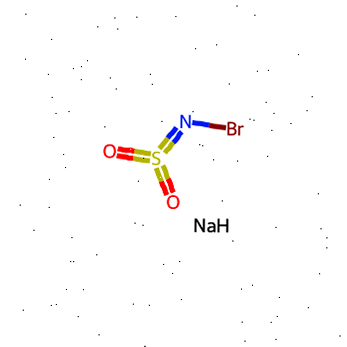 O=S(=O)=NBr.[NaH]